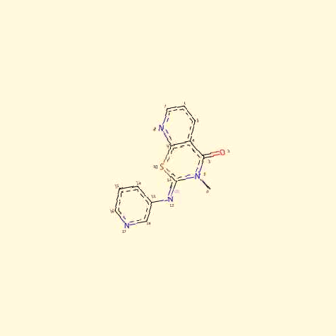 Cn1c(=O)c2cccnc2s/c1=N\c1cccnc1